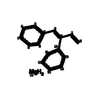 C=CC(=Cc1ccccc1)c1ccccc1.[MgH2]